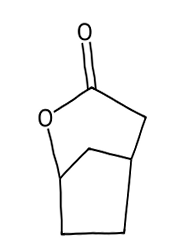 O=C1CC2CCC(C2)O1